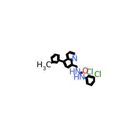 Cc1cccc(-c2ccc(CNC(=O)Nc3cccc(Cl)c3Cl)c3ncccc23)c1